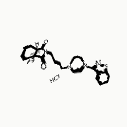 Cl.O=C1[C@H]2CCCC[C@H]2C(=O)N1CCCCN1CCN(c2nsc3ccccc23)CC1